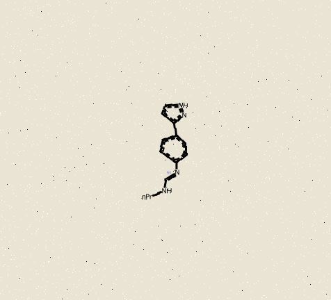 CCCN/C=N/c1ccc(-c2cc[nH]n2)cc1